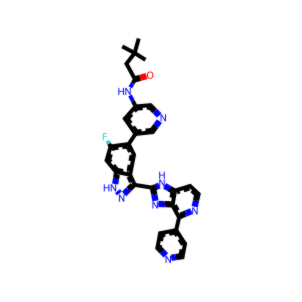 CC(C)(C)CC(=O)Nc1cncc(-c2cc3c(-c4nc5c(-c6ccncc6)nccc5[nH]4)n[nH]c3cc2F)c1